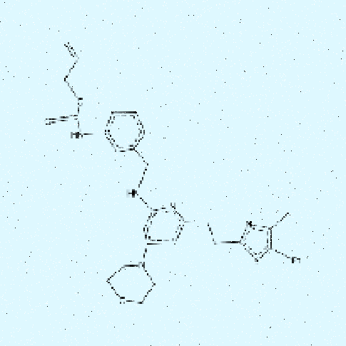 C=CCOC(=O)Nc1cccc(CNc2cc(N3CCOCC3)cc(CCc3nc(C)c(CC)s3)n2)c1